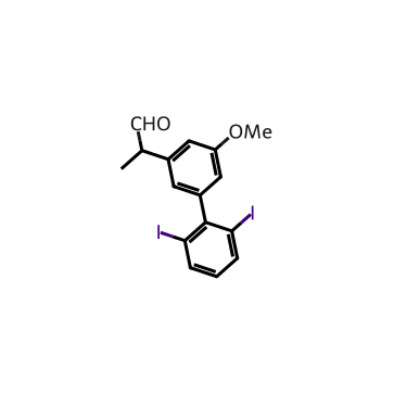 COc1cc(-c2c(I)cccc2I)cc(C(C)C=O)c1